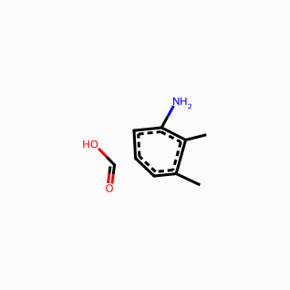 Cc1cccc(N)c1C.O=CO